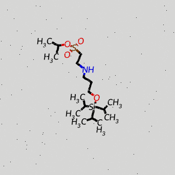 CC(C)OS(=O)(=O)CCNCCCO[Si](C(C)C)(C(C)C)C(C)C